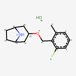 Cc1cccc(F)c1COC1CC2CCC(C1)N2.Cl